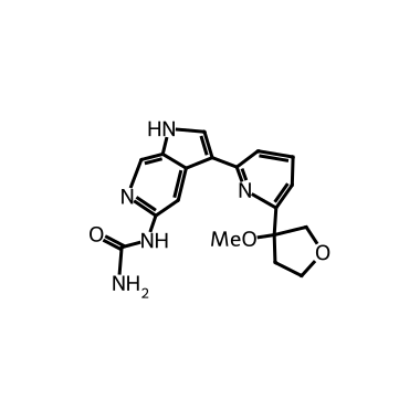 COC1(c2cccc(-c3c[nH]c4cnc(NC(N)=O)cc34)n2)CCOC1